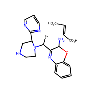 CCC(C1=Nc2ccccc2OC1N)N1CCNCC1c1ncccn1.O=C(O)C=CC(=O)O